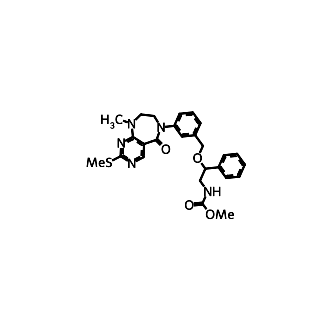 COC(=O)NCC(OCc1cccc(N2CCN(C)c3nc(SC)ncc3C2=O)c1)c1ccccc1